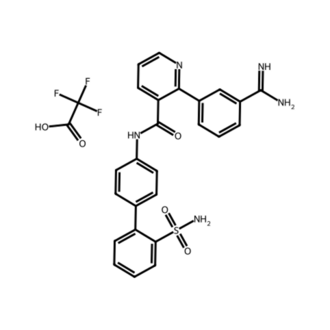 N=C(N)c1cccc(-c2ncccc2C(=O)Nc2ccc(-c3ccccc3S(N)(=O)=O)cc2)c1.O=C(O)C(F)(F)F